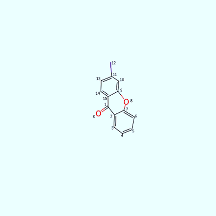 O=c1c2ccccc2oc2cc(I)ccc12